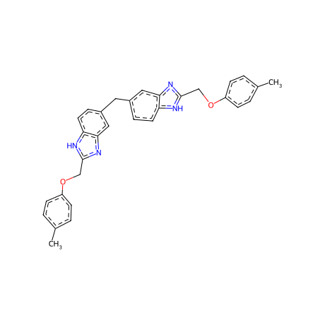 Cc1ccc(OCc2nc3cc(Cc4ccc5[nH]c(COc6ccc(C)cc6)nc5c4)ccc3[nH]2)cc1